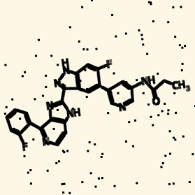 CCC(=O)Nc1cncc(-c2cc3c(-c4nc5c(-c6ccccc6F)nccc5[nH]4)n[nH]c3cc2F)c1